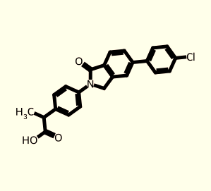 CC(C(=O)O)c1ccc(N2Cc3cc(-c4ccc(Cl)cc4)ccc3C2=O)cc1